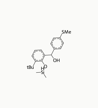 CSc1ccc(C(O)c2cccc(C(C)(C)C)c2O[SiH](C)C)cc1